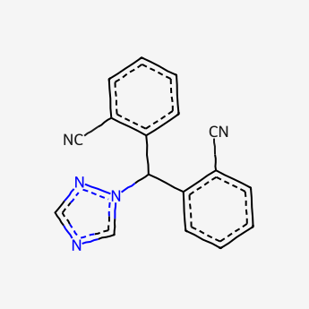 N#Cc1ccccc1C(c1ccccc1C#N)n1cncn1